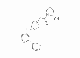 N#CC1CCCN1C(=O)CN1CC[C@H](Oc2cccc(-c3ccccc3)c2)C1